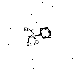 CCO[Si](CBr)(OCC)c1ccccc1